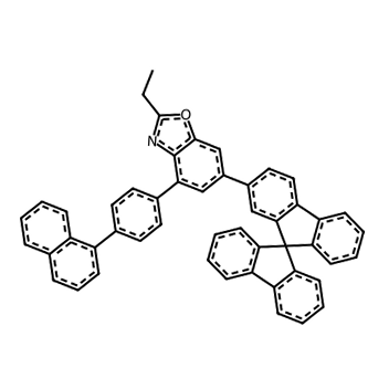 CCc1nc2c(-c3ccc(-c4cccc5ccccc45)cc3)cc(-c3ccc4c(c3)C3(c5ccccc5-c5ccccc53)c3ccccc3-4)cc2o1